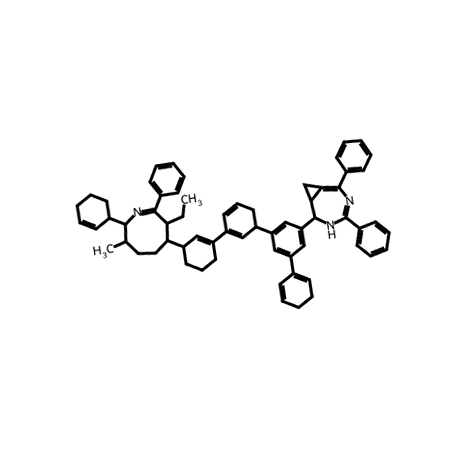 CCC1/C(c2ccccc2)=N\C(C2C=CCCC2)C(C)CCC1C1C=C(C2=CC(c3cc(C4=CCCC=C4)cc(C4NC(c5ccccc5)=NC(c5ccccc5)=C5CC54)c3)CC=C2)CCC1